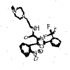 CN1CCN(CCNC(=O)c2nc(-c3ccccc3C(F)(F)F)oc2-c2ccccc2[N+](=O)[O-])CC1